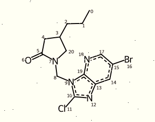 CCCC1CC(=O)N(Cn2c(Cl)nc3cc(Br)cnc32)C1